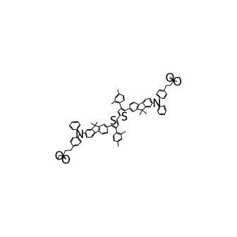 COC(=O)CCc1ccc(N(c2ccccc2)c2ccc3c(c2)C(C)(C)c2cc(-c4sc(-c5cc(-c6ccc(C)cc6C)c(-c6ccc7c(c6)C(C)(C)c6cc(N(c8ccccc8)c8ccc(CCC(=O)OC)cc8)ccc6-7)s5)cc4-c4ccc(C)cc4C)ccc2-3)cc1